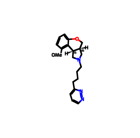 COc1cccc2c1[C@@H]1CN(CCCCc3cccnn3)C[C@@H]1CO2